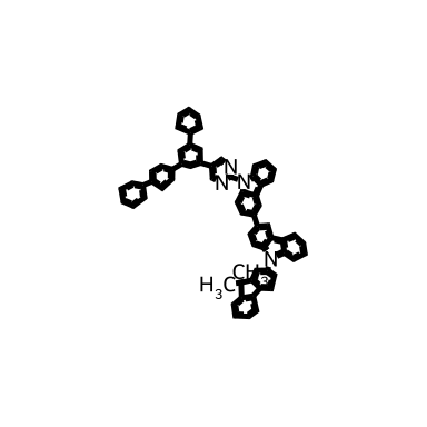 CC1(C)c2ccccc2-c2ccc(-n3c4ccccc4c4cc(-c5ccc6c(c5)c5ccccc5n6-c5ncc(-c6cc(-c7ccccc7)cc(-c7ccc(-c8ccccc8)cc7)c6)cn5)ccc43)cc21